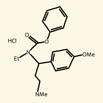 CCN(C(=O)Oc1ccccc1)C(CCNC)c1ccc(OC)cc1.Cl